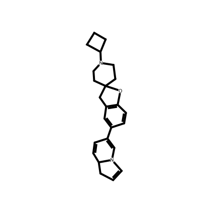 C1=CN2C=C(c3ccc4c(c3)CC3(CCN(C5CCC5)CC3)O4)C=CC2C1